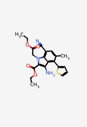 CCOC(=O)Cn1c(C(=O)OCC)c(N)c2c(-c3cccs3)c(C)cc(C#N)c21